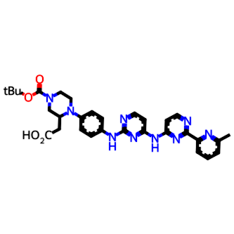 Cc1cccc(-c2nccc(Nc3ccnc(Nc4ccc(N5CCN(C(=O)OC(C)(C)C)CC5CC(=O)O)cc4)n3)n2)n1